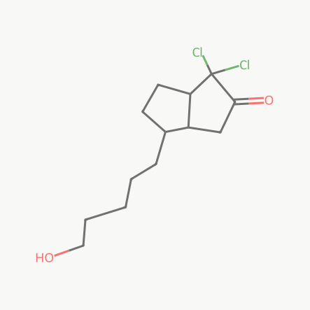 O=C1CC2C(CCCCCO)CCC2C1(Cl)Cl